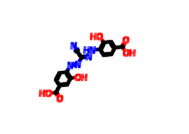 N#CC(/N=N/c1ccc(C(=O)O)cc1O)=N\Nc1ccc(C(=O)O)cc1O